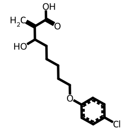 C=C(C(=O)O)C(O)CCCCCOc1ccc(Cl)cc1